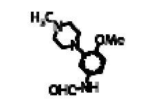 COc1ccc(NC=O)cc1N1CCN(C)CC1